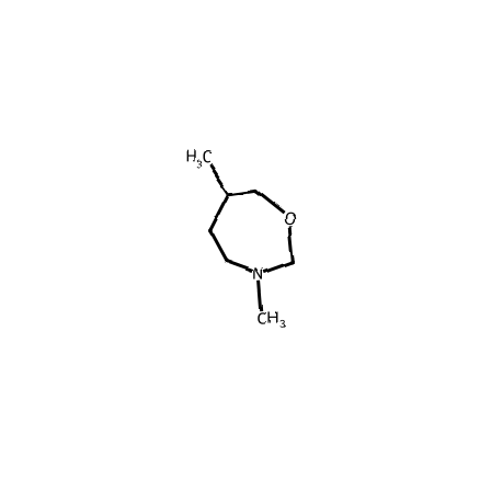 CC1CCN(C)COC1